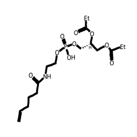 C=CCCCC(=O)NCCOP(=O)(O)OC[C@@H](COC(=O)CC)OC(=O)CC